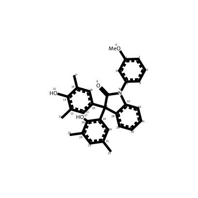 COc1cccc(N2C(=O)C(c3cc(C)c(O)c(C)c3)(c3cc(C)cc(C)c3O)c3ccccc32)c1